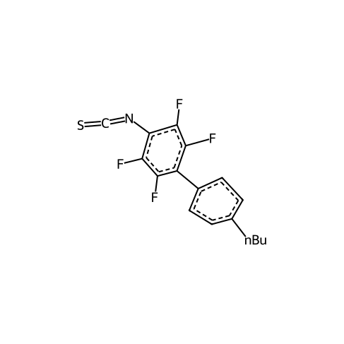 CCCCc1ccc(-c2c(F)c(F)c(N=C=S)c(F)c2F)cc1